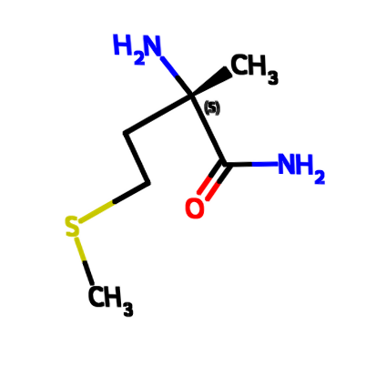 CSCC[C@](C)(N)C(N)=O